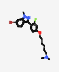 CN(C)CCCCCCOc1ccc(-c2nn(C)c3cc(Br)ccc23)c(F)c1